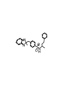 CC(CCc1ccccc1)NS(=O)(=O)c1ccc(CC2(C)N=c3ccccc3=N2)cc1